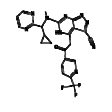 CN(c1nc2nnc(C#N)c-2c(CC(=O)c2ccc(C(F)(F)F)nc2)[nH]1)C(c1ncccn1)C1CC1